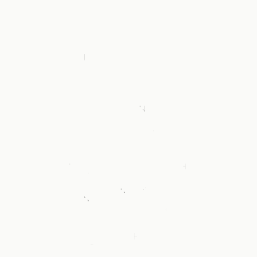 CCC(CC)C1N(C)C(=O)c2c3c(c(O)c(=O)n21)C(=O)N(Cc1ccc(F)c(Cl)c1)CC3